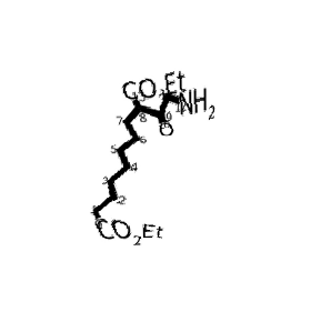 CCOC(=O)CCCCCCCC(C(=O)CN)C(=O)OCC